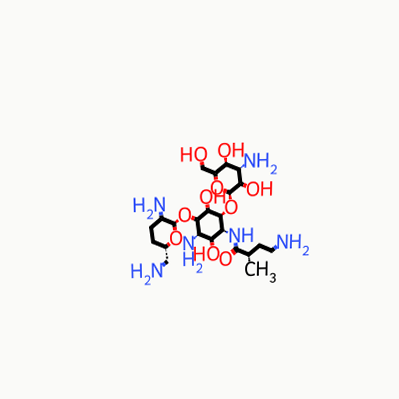 C[C@@H](CCN)C(=O)N[C@@H]1C(O)[C@H](N)C(O[C@H]2O[C@H](CN)CCC2N)C(O)[C@H]1O[C@H]1OC(CO)[C@@H](O)[C@H](N)C1O